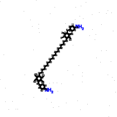 Cc1c(C)c(Cc2ccc(N)cc2)c(C)c(C)c1CCCCCCCCCCCCCCCCCCCCc1c(C)c(C)c(Cc2ccc(N)cc2)c(C)c1C